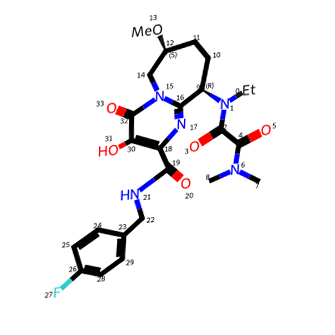 CCN(C(=O)C(=O)N(C)C)[C@@H]1CC[C@H](OC)Cn2c1nc(C(=O)NCc1ccc(F)cc1)c(O)c2=O